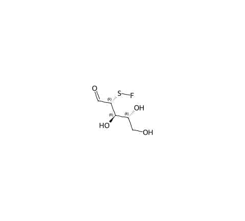 O=C[C@H](SF)[C@H](O)[C@H](O)CO